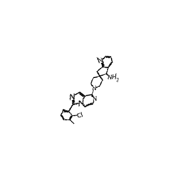 Cc1cccc(-c2ncc3c(N4CCC5(CC4)Cc4ncccc4C5N)nccn23)c1Cl